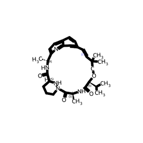 CC(C)[C@@H]1OCC(C)(C)/C=C/c2ccc3ccc(nc3c2)[C@@H](C)NC(=O)[C@@H]2CCCN(N2)C(=O)[C@H](C)NC1=O